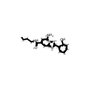 CCCCNC(=O)c1cc(N)n2nc(-c3ccccc3O)nc2c1